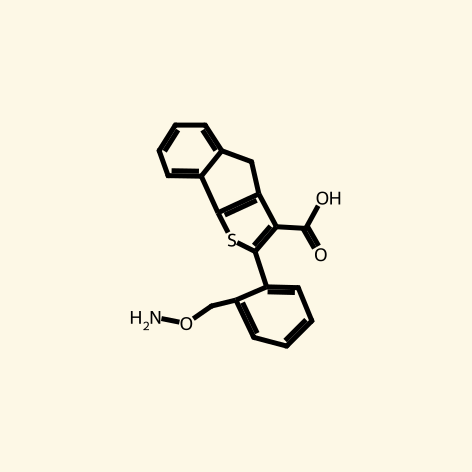 NOCc1ccccc1-c1sc2c(c1C(=O)O)Cc1ccccc1-2